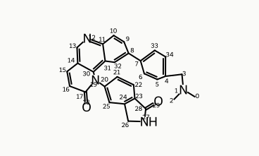 CN(C)Cc1ccc(-c2ccc3ncc4ccc(=O)n(-c5ccc6c(c5)CNC6=O)c4c3c2)cc1